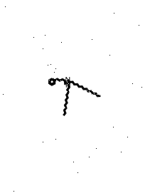 CCCCCCCCCCCCCc1nc(CCCc2ccccc2)cn1CCCCCCCCCCCC